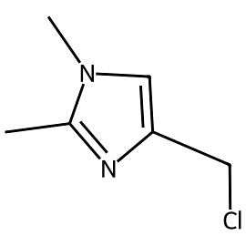 Cc1nc(CCl)cn1C